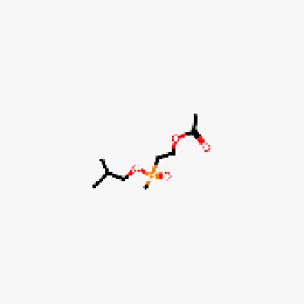 CC(=O)OCCP(C)(=O)OCC(C)C